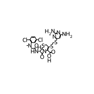 CN(CC(=O)N[C@@H]1C(=O)N2C(C(=O)O)=C(SCSc3cc(N)nc(N)n3)CS[C@H]12)c1cc(Cl)ccc1Cl